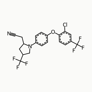 N#CCC1CC(C(F)(F)F)CN1c1ccc(Oc2ccc(C(F)(F)F)cc2Cl)cc1